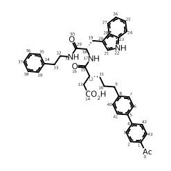 CC(=O)c1ccc(-c2ccc(CCC[C@H](CC(=O)O)C(=O)N[C@@H](Cc3c[nH]c4ccccc34)C(=O)NCCc3ccccc3)cc2)cc1